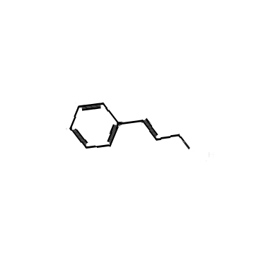 Cl.O=C(O)C/C=C/c1ccccc1